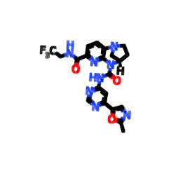 Cc1ncc(-c2cc(NC(=O)N3c4nc(C(=O)NCC(F)(F)F)ccc4N4CC[C@H]3C4)ncn2)o1